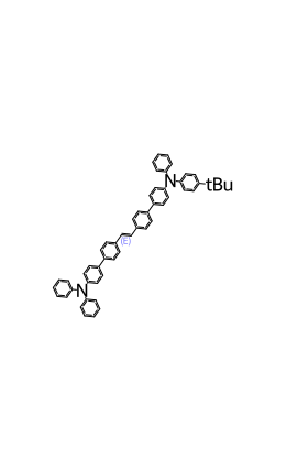 CC(C)(C)c1ccc(N(c2ccccc2)c2ccc(-c3ccc(/C=C/c4ccc(-c5ccc(N(c6ccccc6)c6ccccc6)cc5)cc4)cc3)cc2)cc1